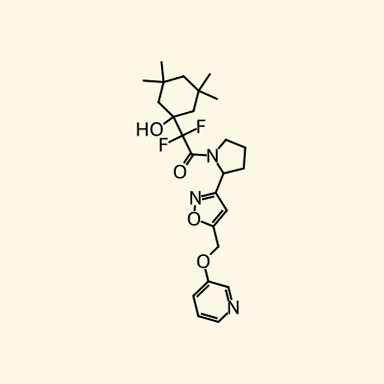 CC1(C)CC(C)(C)CC(O)(C(F)(F)C(=O)N2CCCC2c2cc(COc3cccnc3)on2)C1